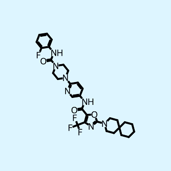 O=C(Nc1ccc(N2CCN(C(=O)Nc3ccccc3F)CC2)nc1)c1oc(N2CCC3(CCCCC3)CC2)nc1C(F)(F)F